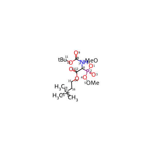 COOP(=O)(OOC)C(NC(=O)OC(C)(C)C)C(=O)OCC[Si](C)(C)C